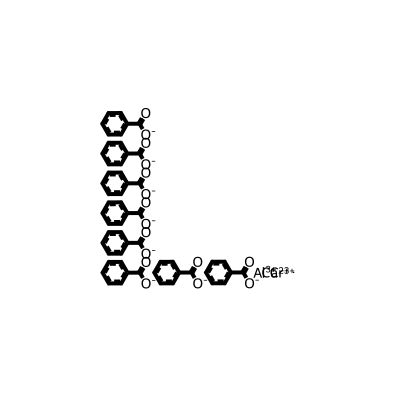 O=C([O-])c1ccccc1.O=C([O-])c1ccccc1.O=C([O-])c1ccccc1.O=C([O-])c1ccccc1.O=C([O-])c1ccccc1.O=C([O-])c1ccccc1.O=C([O-])c1ccccc1.O=C([O-])c1ccccc1.[Al+3].[Ca+2].[Cr+3]